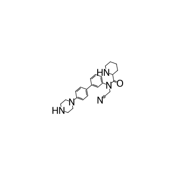 N#CCN(C(=O)C1CCCCN1)c1cccc(-c2ccc(N3CCNCC3)cc2)c1